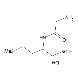 CSCCC(CS(=O)(=O)O)NC(=O)CN.Cl